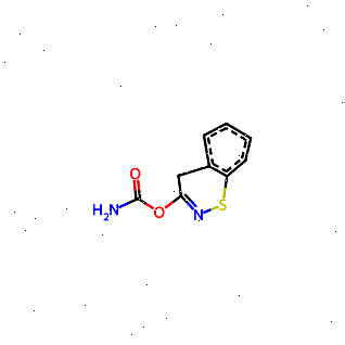 NC(=O)OC1=NSc2ccccc2C1